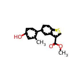 COC(=O)c1csc2ccc(-c3ccc(O)cc3C)cc12